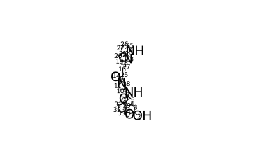 O=C(O)CC(CC(=O)N[C@@H]1CCN(C(=O)CCCc2ccc3c(n2)NCCC3)C1)c1ccccc1